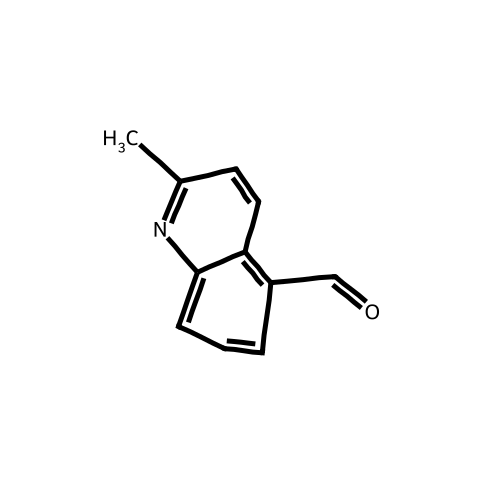 Cc1ccc2c(C=O)cccc2n1